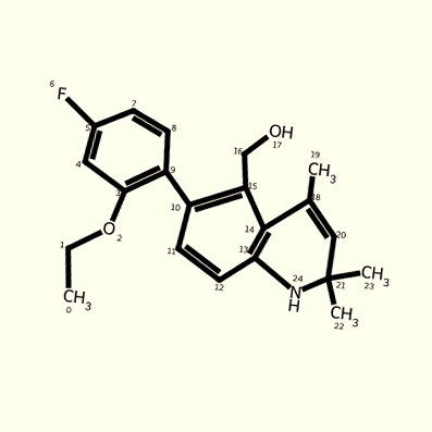 CCOc1cc(F)ccc1-c1ccc2c(c1CO)C(C)=CC(C)(C)N2